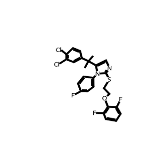 CC(C)(c1ccc(Cl)c(Cl)c1)c1cnc(SCCOc2c(F)cccc2F)n1-c1ccc(F)cc1